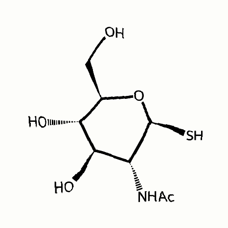 CC(=O)N[C@@H]1[C@@H](O)[C@H](O)[C@@H](CO)O[C@H]1S